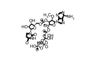 CO[C@@H]1[C@H](OP(=O)(O)OC[C@H]2O[C@@H](n3ccc(=O)[nH]c3=O)[C@H](O)[C@@H]2O)[C@@H](COP(=O)(O)OP(=O)(O)OP(=O)(O)OP(=O)(O)O)O[C@H]1n1cnc2c(N)ncnc21